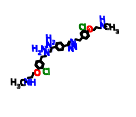 CNCCCOc1ccc(CCN(N)/C=C(\N)c2ccc(-c3cn(CCc4ccc(OCCCNC)c(Cl)c4)nn3)cc2)cc1Cl